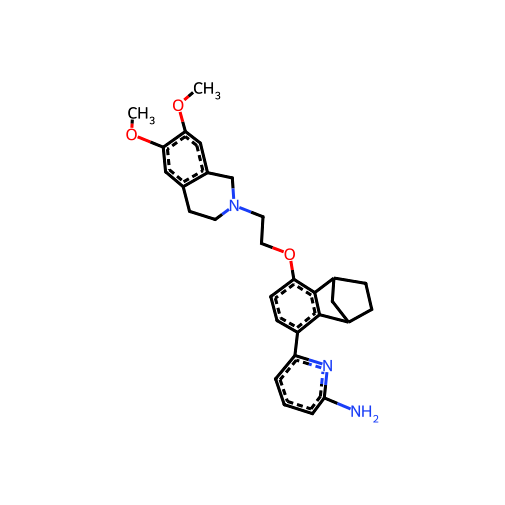 COc1cc2c(cc1OC)CN(CCOc1ccc(-c3cccc(N)n3)c3c1C1CCC3C1)CC2